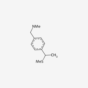 CNCc1ccc(C(C)SC)cc1